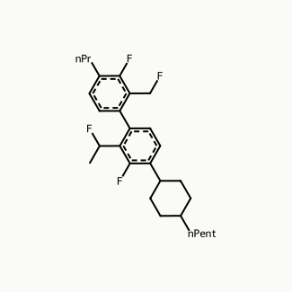 CCCCCC1CCC(c2ccc(-c3ccc(CCC)c(F)c3CF)c(C(C)F)c2F)CC1